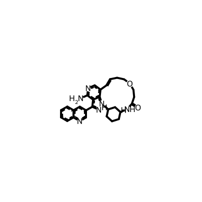 Nc1ncc2c3c1c(-c1cnc4ccccc4c1)nn3[C@@H]1CCC[C@H](C1)NC(=O)CCOCC/C=C/2